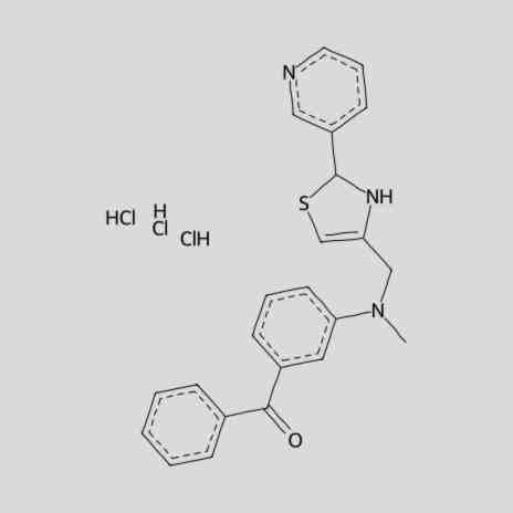 CN(CC1=CSC(c2cccnc2)N1)c1cccc(C(=O)c2ccccc2)c1.Cl.Cl.Cl